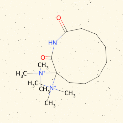 C[N+](C)(C)C1([N+](C)(C)C)CCCCCCCC(=O)NC1=O